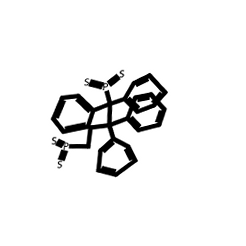 S=P(=S)CCC(c1ccccc1)(c1ccccc1)C(c1ccccc1)(c1ccccc1)P(=S)=S